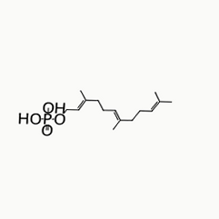 CC(C)=CCCC(C)=CCCC(C)=CCOP(=O)(O)O